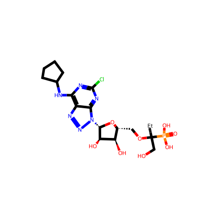 CCC(CO)(OC[C@H]1O[C@@H](n2nnc3c(NC4CCCC4)nc(Cl)nc32)[C@H](O)[C@@H]1O)P(=O)(O)O